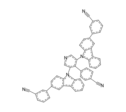 N#Cc1ccc(-c2c(-n3c4ccccc4c4cc(-c5cccc(C#N)c5)ccc43)cncc2-n2c3ccccc3c3cc(-c4cccc(C#N)c4)ccc32)cc1